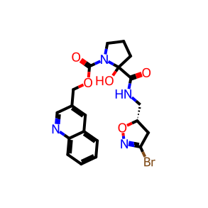 O=C(OCc1cnc2ccccc2c1)N1CCCC1(O)C(=O)NC[C@@H]1CC(Br)=NO1